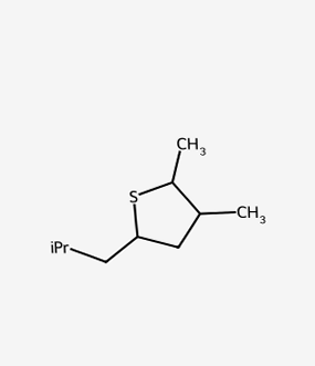 CC(C)CC1CC(C)C(C)S1